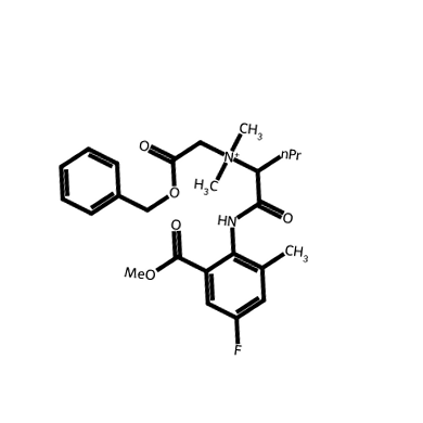 CCCC(C(=O)Nc1c(C)cc(F)cc1C(=O)OC)[N+](C)(C)CC(=O)OCc1ccccc1